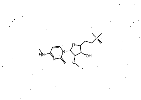 C=C1N=C(NC)C=CN1[C@@H]1OC(CCP(=C)(C)C)[C@@H](O)[C@H]1OC